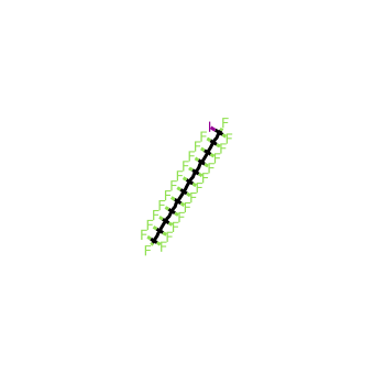 FC(F)(F)C(F)(F)C(F)(F)C(F)(F)C(F)(F)C(F)(F)C(F)(F)C(F)(F)C(F)(F)C(F)(F)C(F)(F)C(F)(F)I